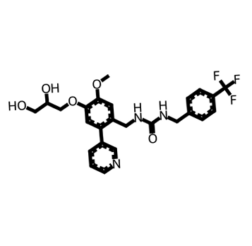 COc1cc(CNC(=O)NCc2ccc(C(F)(F)F)cc2)c(-c2cccnc2)cc1OCC(O)CO